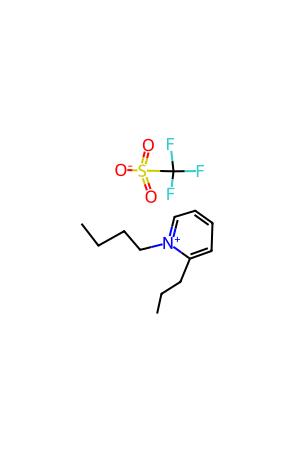 CCCC[n+]1ccccc1CCC.O=S(=O)([O-])C(F)(F)F